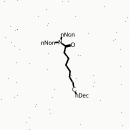 CCCCCCCCCCCCCCCCCC(=O)N(CCCCCCCCC)CCCCCCCCC